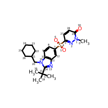 Cn1nc(S(=O)(=O)c2ccc3c(c2)nc(C(C)(C)C)n3CC2CCCCC2)ccc1=O